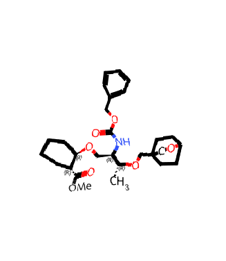 COC(=O)[C@@H]1CCCC[C@H]1OC[C@@H](NC(=O)OCc1ccccc1)[C@@H](C)OCC12CCC(CC1)OC2